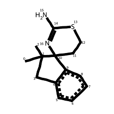 CC1(C)Cc2ccccc2C12CCSC(N)=N2